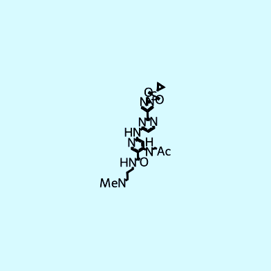 CNCCCNC(=O)c1cnc(Nc2ccnc(-c3cnn(S(=O)(=O)C4CC4)c3)n2)cc1NCC(C)=O